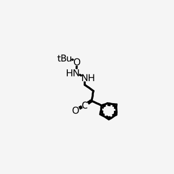 CC(C)(C)ONNCCC(=C=O)c1ccccc1